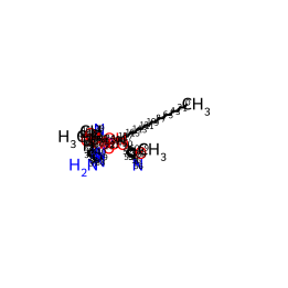 CCCCCCCCCCCCCCCCCCC[C@H](COP(=O)(O)OC[C@@]1(C#N)OC(c2ccc3c(N)ncnn23)[C@@H]2OC(C)(C)O[C@@H]21)OCc1ccc(C#N)c(OC)c1